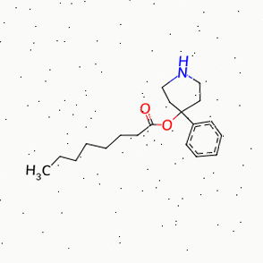 CCCCCCCC(=O)OC1(c2ccccc2)CCNCC1